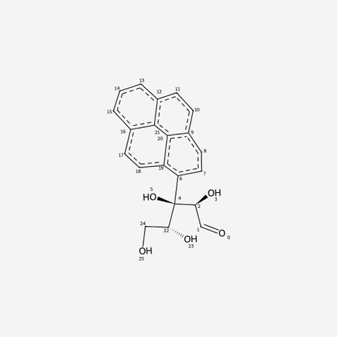 O=C[C@H](O)[C@@](O)(c1ccc2ccc3cccc4ccc1c2c34)[C@H](O)CO